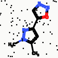 Cc1cc(-c2cnno2)nn1C